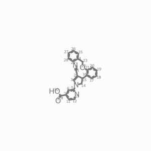 N#CC1=CN(c2cc(C(=O)O)ccn2)CC1c1ccccc1OCc1ccccc1